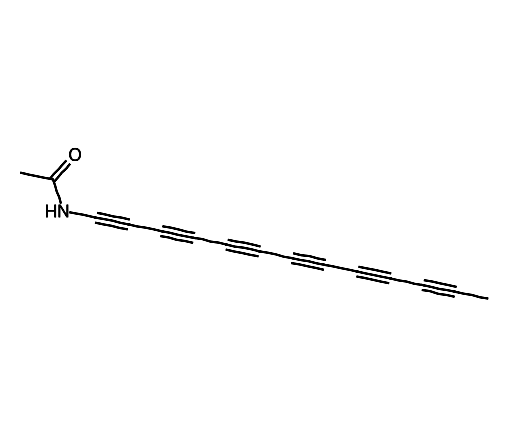 CC#CC#CC#CC#CC#CC#CNC(C)=O